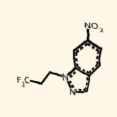 O=[N+]([O-])c1ccc2cnn(CCC(F)(F)F)c2c1